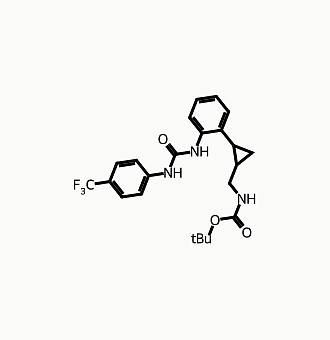 CC(C)(C)OC(=O)NCC1CC1c1ccccc1NC(=O)Nc1ccc(C(F)(F)F)cc1